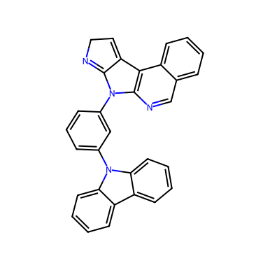 C1=c2c(n(-c3cccc(-n4c5ccccc5c5ccccc54)c3)c3ncc4ccccc4c23)=NC1